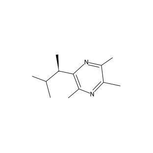 Cc1nc(C)c([C@H](C)C(C)C)nc1C